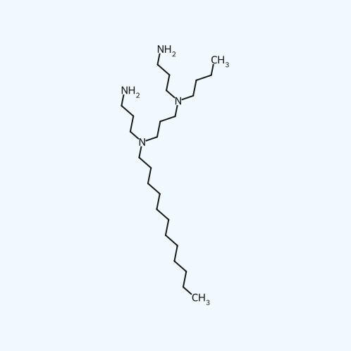 CCCCCCCCCCCCN(CCCN)CCCN(CCCC)CCCN